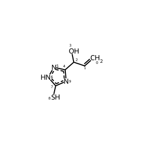 C=CC(O)c1n[nH]c(S)n1